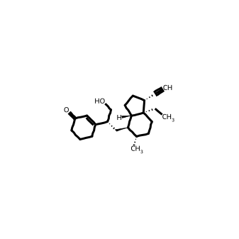 C#C[C@H]1CC[C@H]2[C@H](C[C@@H](CO)C3=CC(=O)CCC3)[C@@H](C)CC[C@]12CC